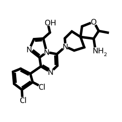 CC1OCC2(CCN(c3cnc(-c4cccc(Cl)c4Cl)c4ncc(CO)n34)CC2)C1N